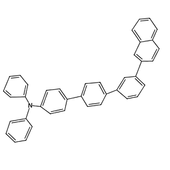 c1ccc(N(c2ccccc2)c2ccc(-c3ccc(-c4cccc(-c5ccc6ccccc6c5)c4)cc3)cc2)cc1